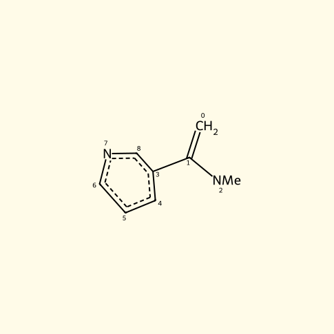 C=C(NC)c1cccnc1